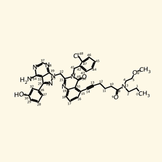 CCCN(CCOC)C(=O)CCCC#Cc1cccc2nc(Cn3nc(-c4cccc(O)c4)c4c(N)ncnc43)n(Cc3ccccc3Cl)c(=O)c12